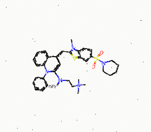 CCCN(CC[N+](C)(C)C)C1=C/C(=C\c2sc3cc(S(=O)(=O)N4CCCCC4)ccc3[n+]2C)c2ccccc2N1c1ccccc1